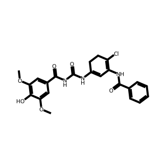 COc1cc(C(=O)NC(=O)NC2=CC(NC(=O)c3ccccc3)=C(Cl)CC2)cc(OC)c1O